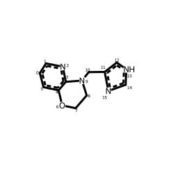 c1cnc2c(c1)OCCN2Cc1c[nH]cn1